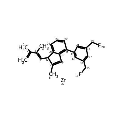 C=C(C)C(C)=CC1C(C)=Cc2c(-c3cc(CF)cc(CF)c3)cccc21.[Zr]